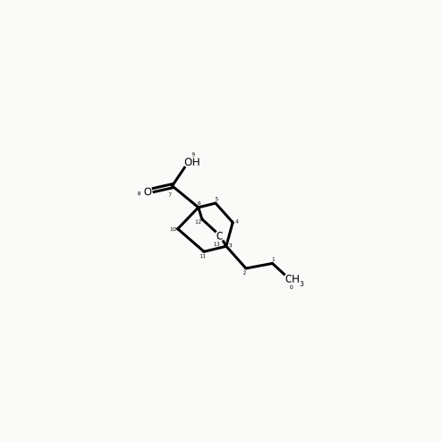 CCCC12CCC(C(=O)O)(CC1)CC2